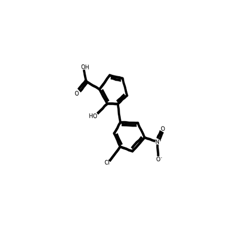 O=C(O)c1cccc(-c2cc(Cl)cc([N+](=O)[O-])c2)c1O